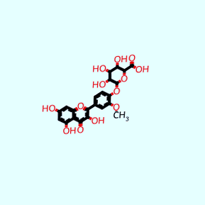 COc1cc(-c2oc3cc(O)cc(O)c3c(=O)c2O)ccc1OC1OC(C(=O)O)C(O)C(O)C1O